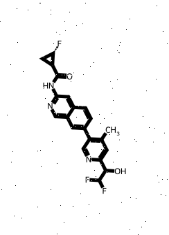 Cc1cc(C(O)C(F)F)ncc1-c1ccc2cc(NC(=O)C3C[C@@H]3F)ncc2c1